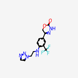 O=C1NN=C(c2ccc(NCCn3ccnn3)c(C(F)(F)F)c2)CO1